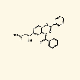 CC(C)(C)NCC(O)c1ccc(OC(=O)c2ccccc2)c(OC(=O)c2ccccc2)c1